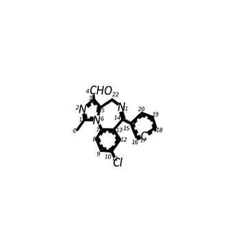 Cc1nc(C=O)c2n1-c1ccc(Cl)cc1C(c1ccccc1)=NC2